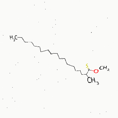 CCCCCCCCCCCCCCCCCC(C)C(=S)OC